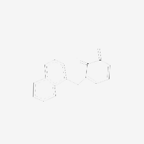 O=C1C=CC=C(Cc2cccc3ccccc23)C1=O